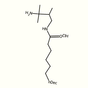 CCCCCCCCCCCCCCCC(=O)NCC(C)C(C)(C)N.Cl